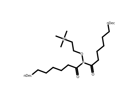 CCCCCCCCCCCCCCCC(=O)P(OCC[N+](C)(C)C)C(=O)CCCCCCCCCCCCCCC